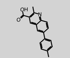 Cc1ccc(-c2ccc3nc(C)c(C(=O)O)cc3c2)cc1